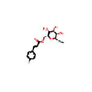 COC1O[C@H](COC(=O)/C=C/c2ccc(F)cc2)[C@@H](O)[C@H](O)[C@H]1O